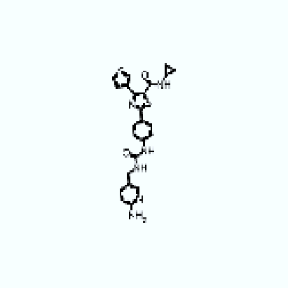 Nc1ccc(CNC(=O)Nc2ccc(-c3nc(-c4ccsc4)c(C(=O)NC4CC4)s3)cc2)cn1